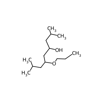 CCCOC(CC(C)C)CC(O)CC(C)C